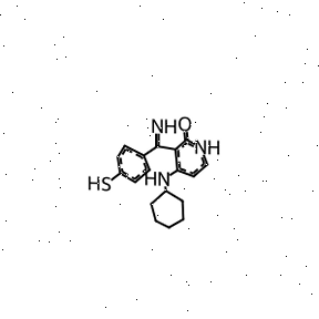 N=C(c1ccc(S)cc1)c1c(NC2CCCCC2)cc[nH]c1=O